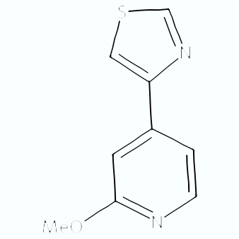 COc1cc(-c2cs[c]n2)ccn1